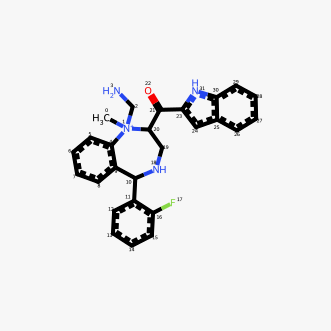 C[N+]1(CN)c2ccccc2C(c2ccccc2F)NCC1C(=O)c1cc2ccccc2[nH]1